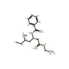 CCOC(=O)C[C@@H](CC(O)CI)OC(=O)c1ccccc1